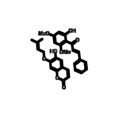 CC(C)=CCOc1cc2oc(=O)ccc2cc1O.COc1cc(O)c(C(=O)C=Cc2ccccc2)c(OC)c1